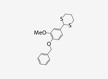 COc1cc(C2SCCCS2)ccc1OCc1ccccc1